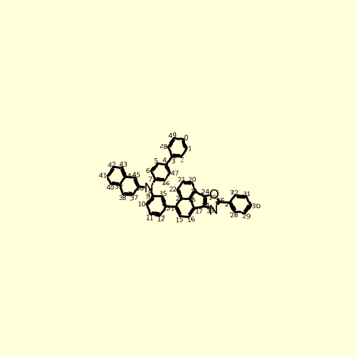 c1ccc(-c2ccc(N(c3cccc(-c4ccc5c6c(cccc46)-c4oc(-c6ccccc6)nc4-5)c3)c3ccc4ccccc4c3)cc2)cc1